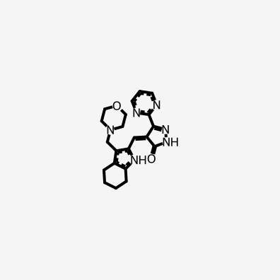 O=C1NN=C(c2ncccn2)C1=Cc1[nH]c2c(c1CN1CCOCC1)CCCC2